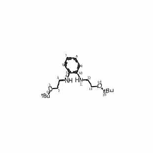 CC(C)(C)OCCNc1ccccc1NCCOC(C)(C)C